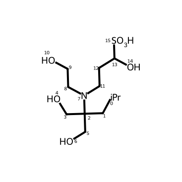 CC(C)CC(CO)(CO)N(CCO)CCC(O)S(=O)(=O)O